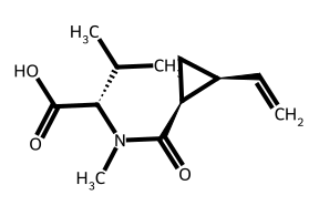 C=C[C@@H]1C[C@@H]1C(=O)N(C)[C@H](C(=O)O)C(C)C